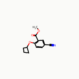 COC(=O)c1cc(C#N)ccc1OC1CCC1